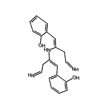 N=CCC(=Cc1ccccc1O)NC(=Cc1ccccc1O)CC=N